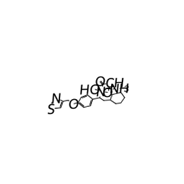 CC(=O)[N+](O)(O[NH])C(CC1CCCCC1)c1ccc(OCc2cscn2)cc1